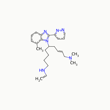 C=CNCCCCC(C/C=C/CN(C)C)n1c(-c2cccnn2)nc2cccc(C)c21